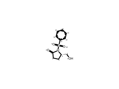 O=C1CC[C@@H](CO)N1S(=O)(=O)c1ccccc1